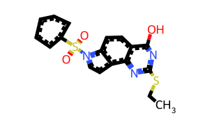 CCSc1nc(O)c2ccc3c(ccn3S(=O)(=O)c3ccccc3)c2n1